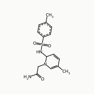 CC1=CN(CC(N)=O)C(NS(=O)(=O)c2ccc(C)cc2)C=C1